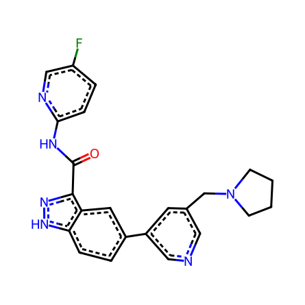 O=C(Nc1ccc(F)cn1)c1n[nH]c2ccc(-c3cncc(CN4CCCC4)c3)cc12